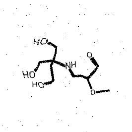 COC(C=O)CNC(CO)(CO)CO